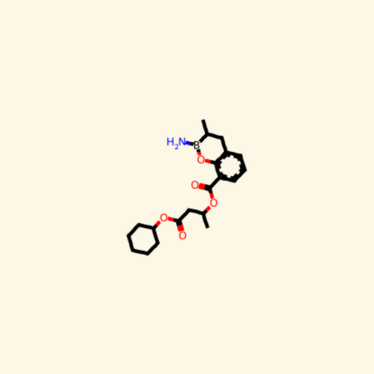 CC(CC(=O)OC1CCCCC1)OC(=O)c1cccc2c1OB(N)C(C)C2